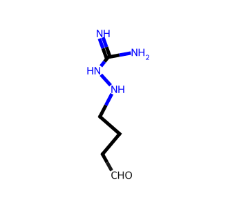 N=C(N)NNCCCC=O